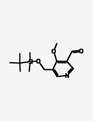 COc1c(C=O)cncc1CO[Si](C)(C)C(C)(C)C